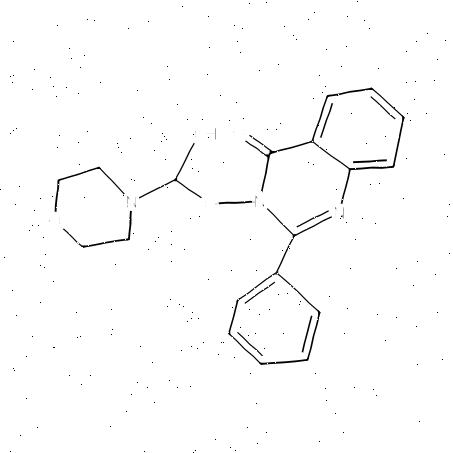 CC(On1c(-c2ccccc2)nc2ccccc2c1=O)N1CCOCC1